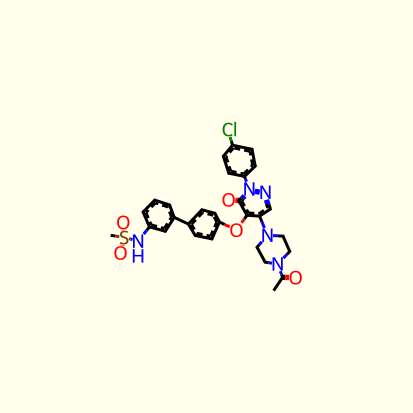 CC(=O)N1CCN(c2cnn(-c3ccc(Cl)cc3)c(=O)c2Oc2ccc(-c3cccc(NS(C)(=O)=O)c3)cc2)CC1